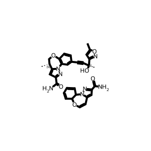 Cc1cc([C@@](C)(O)C#Cc2ccc3c(c2)-n2nc(C(N)=O)cc2[C@H](C)CO3)no1.NC(=O)c1cc2n(n1)C1C=CC=CC1OC=C2